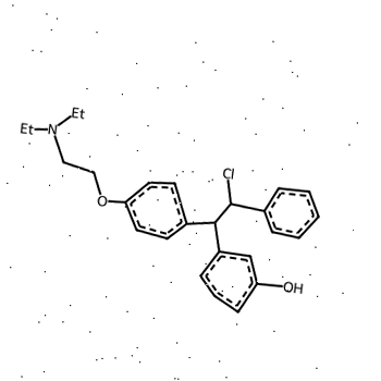 CCN(CC)CCOc1ccc(C(c2cccc(O)c2)C(Cl)c2ccccc2)cc1